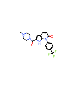 CN1CCN(C(=O)c2cc3ccc(=O)n(-c4ccc(C(F)(F)F)cc4)c3[nH]2)CC1